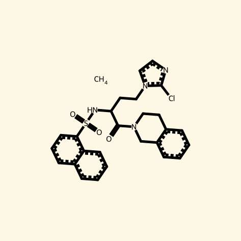 C.O=C(C(CCn1ccnc1Cl)NS(=O)(=O)c1cccc2ccccc12)N1CCc2ccccc2C1